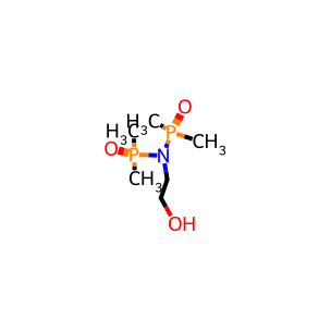 CP(C)(=O)N(CCO)P(C)(C)=O